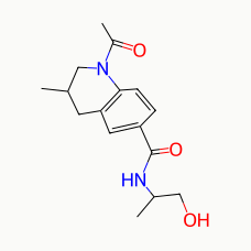 CC(=O)N1CC(C)Cc2cc(C(=O)NC(C)CO)ccc21